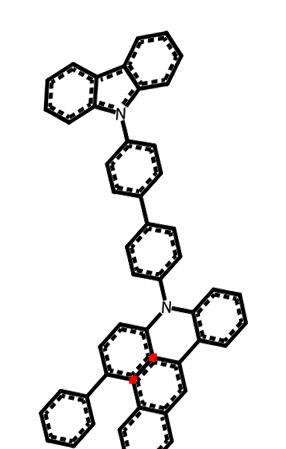 c1ccc(-c2ccc(N(c3ccc(-c4ccc(-n5c6ccccc6c6ccccc65)cc4)cc3)c3ccccc3-c3ccc4ccccc4c3)cc2)cc1